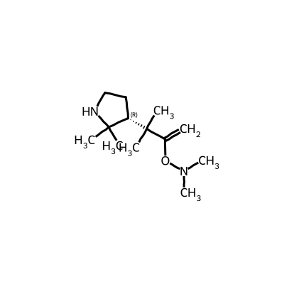 C=C(ON(C)C)C(C)(C)[C@H]1CCNC1(C)C